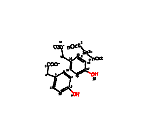 CCCCCCC[CH2][Sn+2][CH2]CCCCCCC.O=C([O-])Cc1ccc(O)cc1.O=C([O-])Cc1ccc(O)cc1